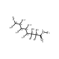 O=C(OF)C(F)(F)C(F)(F)C(F)C(F)C(F)C(F)C(F)F